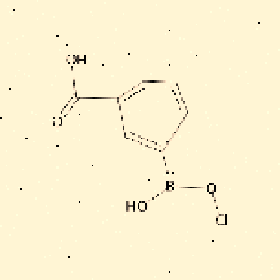 O=C(O)c1cccc(B(O)OCl)c1